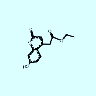 CCOC(=O)Cc1cc(=O)oc2cc(O)ccc12